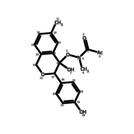 CC(=O)C(=O)N(C)OC1(O)c2cc(C)ccc2COC1c1ccc(O)cc1